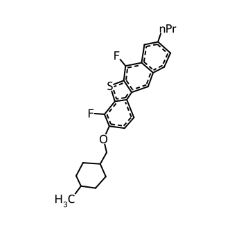 CCCc1ccc2cc3c(sc4c(F)c(OCC5CCC(C)CC5)ccc43)c(F)c2c1